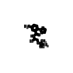 CCC(CO[Si](C)(C)C(C)(C)C)NC(=O)c1cc(C)ccc1-n1nccn1